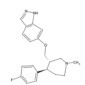 CN1CC[C@@H](c2ccc(F)cc2)[C@H](COc2ccc3cn[nH]c3c2)C1